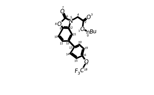 CCCCOC(=O)Cn1c(=O)oc2ccc(-c3ccc(OC(F)(F)F)cc3)cc21